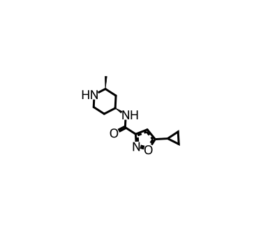 C[C@H]1C[C@@H](NC(=O)c2cc(C3CC3)on2)CCN1